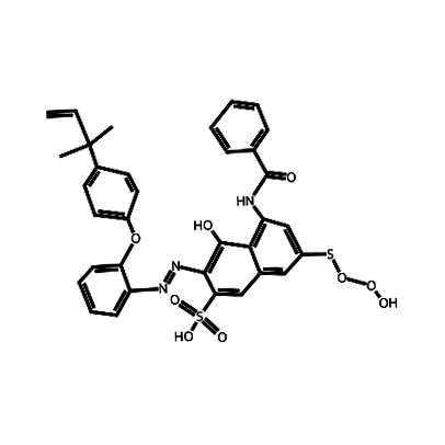 C=CC(C)(C)c1ccc(Oc2ccccc2/N=N/c2c(S(=O)(=O)O)cc3cc(SOOO)cc(NC(=O)c4ccccc4)c3c2O)cc1